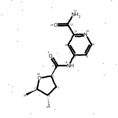 C[C@H]1C[C@H](C(=O)Nc2ccnc(C(N)=O)c2)O[C@@H]1C